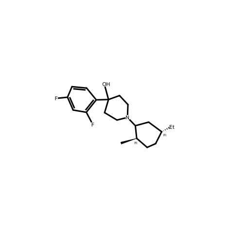 CC[C@@H]1CC[C@@H](C)C(N2CCC(O)(c3ccc(F)cc3F)CC2)C1